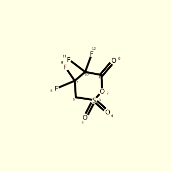 O=C1OS(=O)(=O)CC(F)(F)C1(F)F